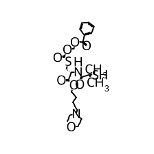 CC(C)(S)C(=O)N[C@@H](CSC(=O)OCOC(=O)c1ccccc1)C(=O)OCCCCN1CCOCC1